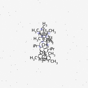 C=C(CC)/C(B(/C1=C/C/C(C(C)C)=c2/ccc3c(B(c4c(C)cc(C)cc4C)c4c(C)cc(C)cc4C)cc(C(C)C)c(c3c2=C)/C=C\C1C)/C(C)=C(C)/C=C(C)\C=C\C)=C(C)\C=C(\C)CC